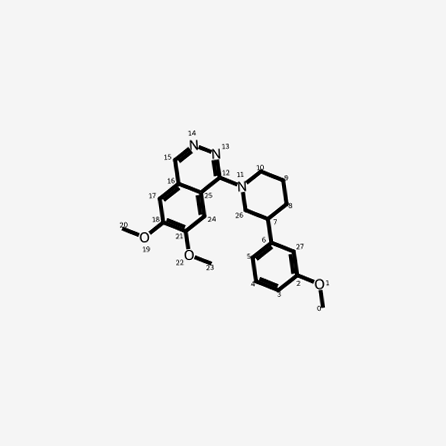 COc1cccc(C2CCCN(c3nncc4cc(OC)c(OC)cc34)C2)c1